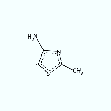 Cc1nc(N)[c]s1